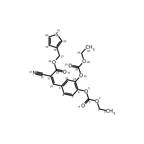 CCOC(=O)Oc1ccc(C=C(C#N)C(=O)OCc2ccsc2)cc1OC(=O)OCC